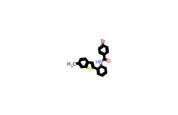 Cc1ccc2cc(C3=CC=CCC3NC(=O)c3ccc(Br)cc3)sc2c1